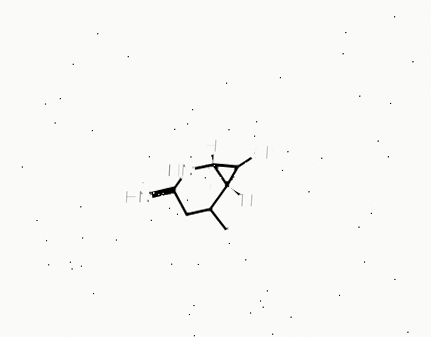 CC1CC(=N)N[C@@H]2C(Cl)[C@H]12